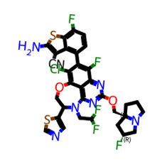 N#Cc1c(N)sc2c(F)ccc(-c3c(Cl)c4c5c(nc(OC[C@@]67CCCN6C[C@H](F)C7)nc5c3F)N(CC(F)F)C(c3cncs3)CO4)c12